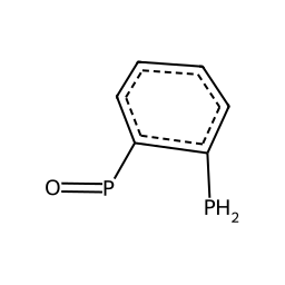 O=Pc1ccccc1P